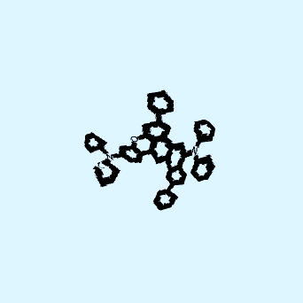 c1ccc(-c2ccc3c(N(c4ccccc4)c4ccccc4)cc4c5cc(-c6ccccc6)cc6c5c(cc4c3c2)-c2ccc(N(c3ccccc3)c3ccccc3)cc2O6)cc1